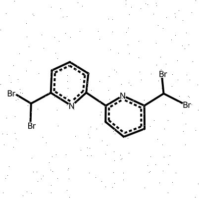 BrC(Br)c1cccc(-c2cccc(C(Br)Br)n2)n1